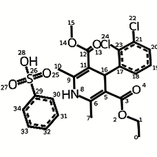 CCOC(=O)C1=C(C)NC(C)=C(C(=O)OC)C1c1cccc(Cl)c1Cl.O=S(=O)(O)c1ccccc1